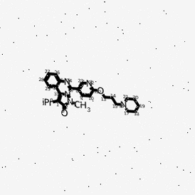 CC(C)c1c(=O)n(C)n2c(-c3ccc(OCCCN4CCCCC4)nc3)nc3ccccc3c12